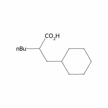 CCCCC(CC1CCCCC1)C(=O)O